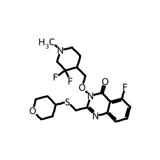 CN1CCC(COn2c(CSC3CCOCC3)nc3cccc(F)c3c2=O)C(F)(F)C1